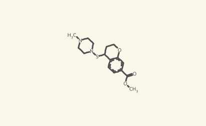 COC(=O)c1ccc2c(c1)OCCC2SN1CCN(C)CC1